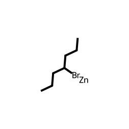 CCCC(Br)CCC.[Zn]